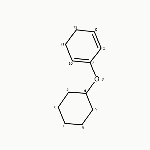 C1=CC(OC2CCCCC2)=CCC1